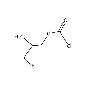 CC(C)CC(C)COC(=O)Cl